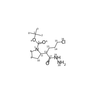 CC(C)(C)OC(=O)N1CCCC1C(CCCCl)C(=O)NN